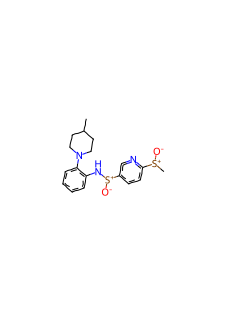 CC1CCN(c2ccccc2N[S+]([O-])c2ccc([S+](C)[O-])nc2)CC1